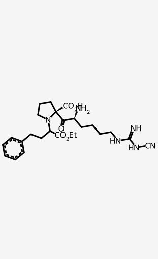 CCOC(=O)C(CCc1ccccc1)N1CCC[C@]1(C(=O)O)C(=O)[C@@H](N)CCCCNC(=N)NC#N